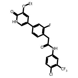 CCOc1cc(-c2ccc(CC(=O)Nc3ccc(Cl)c(C(F)(F)F)c3)c(F)c2)c[nH]c1=O